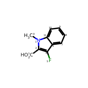 Cn1c(C(=O)O)c(F)c2ccccc21